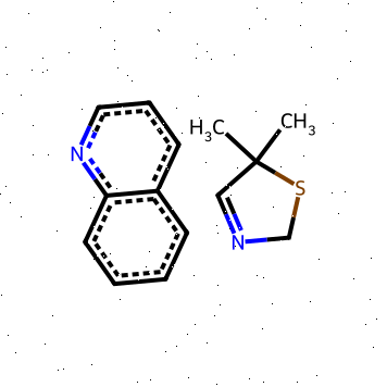 CC1(C)C=NCS1.c1ccc2ncccc2c1